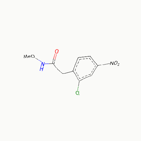 CONC(=O)Cc1ccc([N+](=O)[O-])cc1Cl